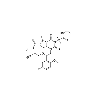 CCOC(=O)c1sc2c(c1C)c(=O)n(C(C)(C)C(=O)NC(C)C)c(=O)n2CC(OCCC#N)c1cc(F)ccc1OC